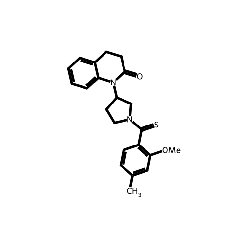 COc1cc(C)ccc1C(=S)N1CCC(N2C(=O)CCc3ccccc32)C1